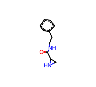 O=C(NCCc1ccccc1)C1CN1